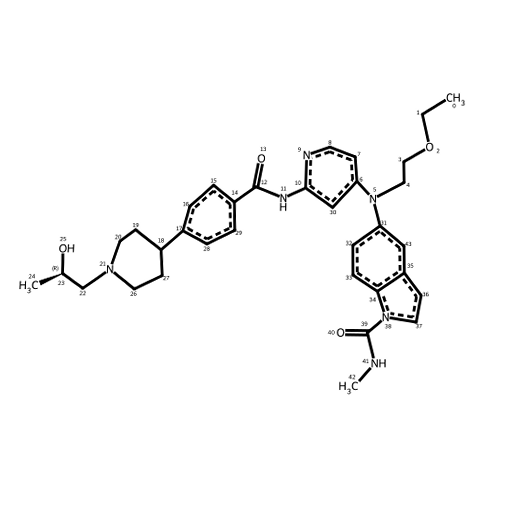 CCOCCN(c1ccnc(NC(=O)c2ccc(C3CCN(C[C@@H](C)O)CC3)cc2)c1)c1ccc2c(ccn2C(=O)NC)c1